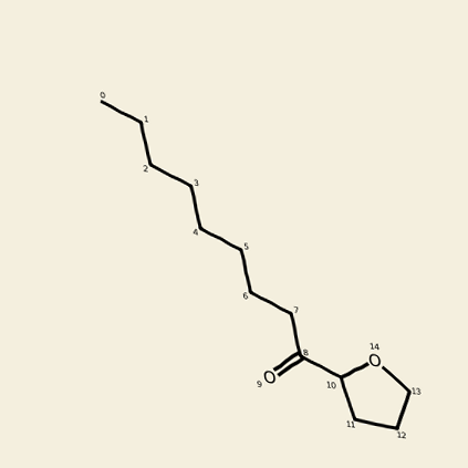 CCCCCCCCC(=O)C1CCCO1